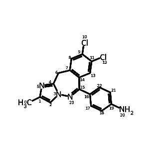 Cc1cn2c(n1)Cc1cc(Cl)c(Cl)cc1C(c1ccc(N)cc1)=N2